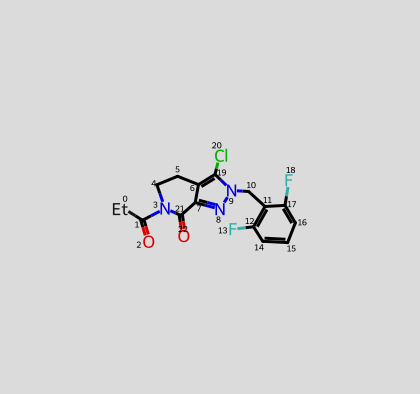 CCC(=O)N1CCc2c(nn(Cc3c(F)cccc3F)c2Cl)C1=O